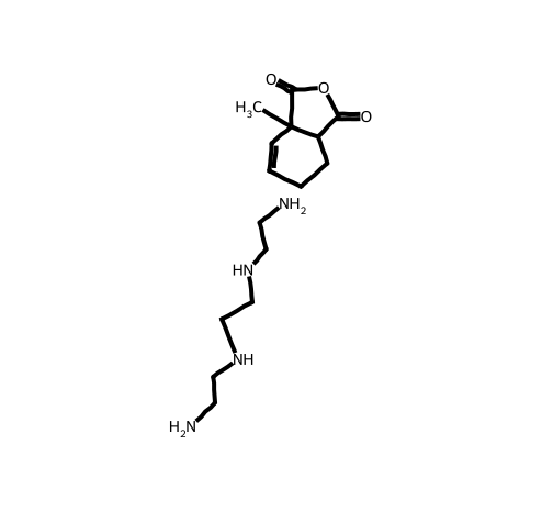 CC12C=CCCC1C(=O)OC2=O.NCCNCCNCCN